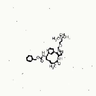 C[C@@H]1/C=C/C[C@H](NC(=O)OCc2ccccc2)c2cc(ccn2)-c2c(cnn2COCC[Si](C)(C)C)NC1=O